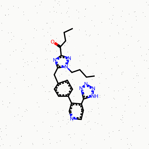 CCCCn1nc(C(=O)CCC)nc1Cc1ccc(-c2cnccc2-c2nnn[nH]2)cc1